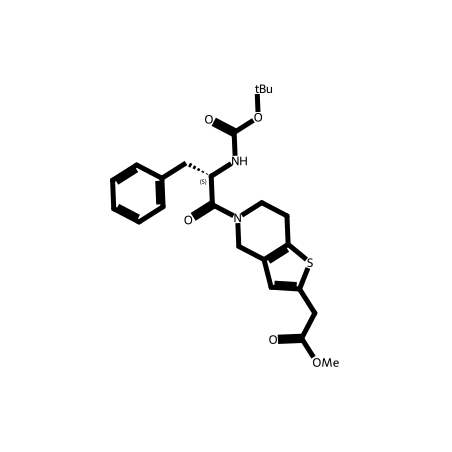 COC(=O)Cc1cc2c(s1)CCN(C(=O)[C@H](Cc1ccccc1)NC(=O)OC(C)(C)C)C2